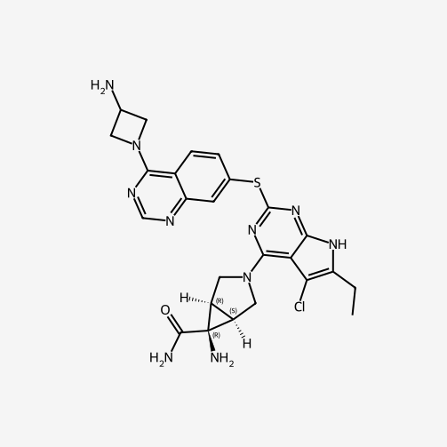 CCc1[nH]c2nc(Sc3ccc4c(N5CC(N)C5)ncnc4c3)nc(N3C[C@@H]4[C@H](C3)[C@@]4(N)C(N)=O)c2c1Cl